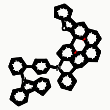 c1ccc(N(c2ccc(-c3ccccc3-n3c4ccccc4c4ccccc43)cc2)c2ccc(-c3cccc4c3oc3ccccc34)cc2)c(-c2ccc3c(ccc4ccccc43)c2)c1